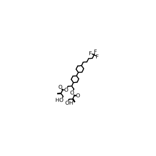 C=C(CO)C(=O)OCC(COC(=O)C(=C)CO)C1CCC(C2CCC(CCCCC(F)(F)F)CC2)CC1